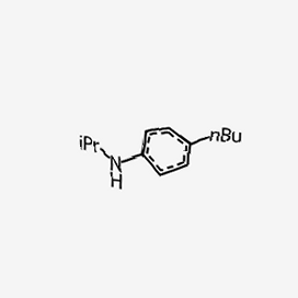 CCCCc1ccc(NC(C)C)cc1